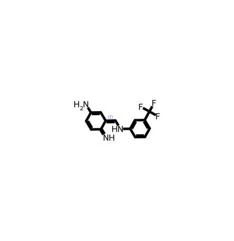 N=C1C=CC(N)=C/C1=C/Nc1cccc(C(F)(F)F)c1